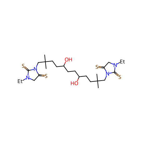 CCN1CC(=S)N(CC(C)(C)CCC(O)CCC(O)CCC(C)(C)CN2C(=S)CN(CC)C2=S)C1=S